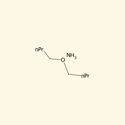 CCCCOCCCC.N